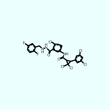 O=C(NNCc1cc(F)ccc1F)c1cc(NC(=O)C2C(c3cc(Cl)cc(Cl)c3)C2(Cl)Cl)ccc1Cl